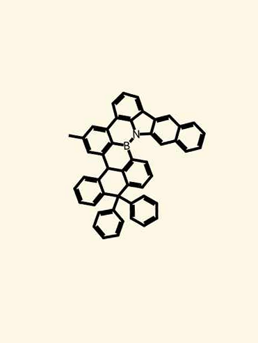 Cc1cc2c3c(c1)C1c4ccccc4C(c4ccccc4)(c4ccccc4)c4cccc(c41)B3n1c3cc4ccccc4cc3c3cccc-2c31